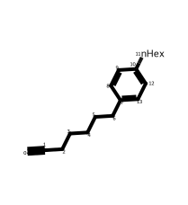 [C]#CCCCCCc1ccc(CCCCCC)cc1